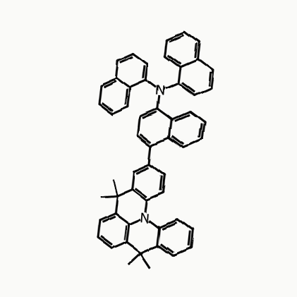 CC1(C)c2ccccc2N2c3ccc(-c4ccc(N(c5cccc6ccccc56)c5cccc6ccccc56)c5ccccc45)cc3C(C)(C)c3cccc1c32